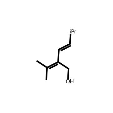 CC(C)=C(/C=C/C(C)C)CO